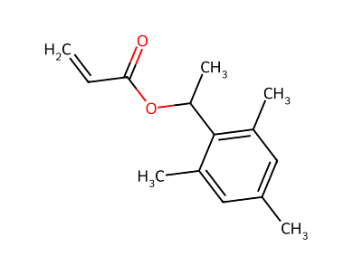 C=CC(=O)OC(C)c1c(C)cc(C)cc1C